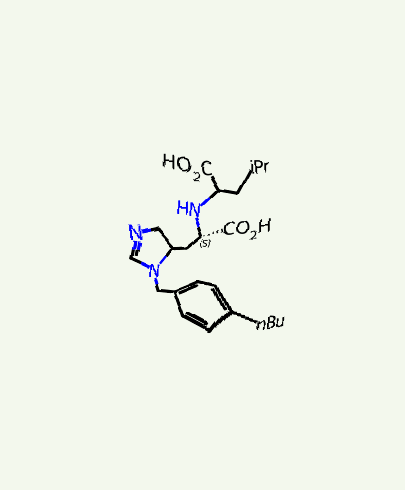 CCCCc1ccc(CN2C=NCC2C[C@H](NC(CC(C)C)C(=O)O)C(=O)O)cc1